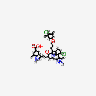 Cc1cc(OCCCc2c3n(c4c(-c5c(C)nn(C)c5C)c(Cl)ccc24)[C@H](C)CC(CCc2cn(C)c4c(C)cc(C(=O)O)cc24)C3=O)cc(C)c1Cl